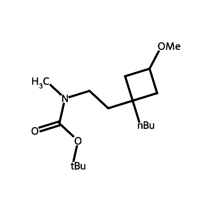 CCCCC1(CCN(C)C(=O)OC(C)(C)C)CC(OC)C1